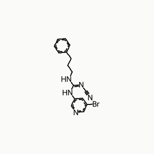 N#CN=C(NCCCc1ccccc1)Nc1cncc(Br)c1